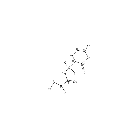 CCC(C)C(=O)OC(C)(C)C1CCC(C)CC1=O